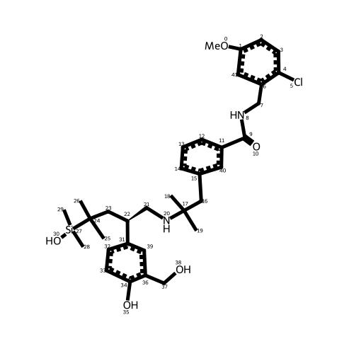 COc1ccc(Cl)c(CNC(=O)c2cccc(CC(C)(C)NC[C@H](CC(C)(C)[Si](C)(C)O)c3ccc(O)c(CO)c3)c2)c1